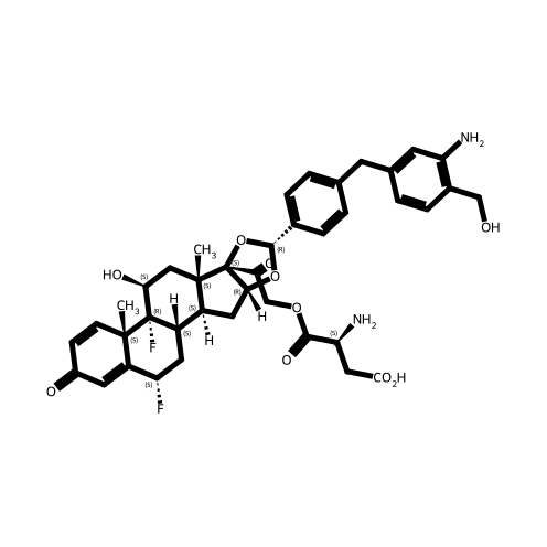 C[C@]12C=CC(=O)C=C1[C@@H](F)C[C@H]1[C@@H]3C[C@H]4O[C@@H](c5ccc(Cc6ccc(CO)c(N)c6)cc5)O[C@@]4(C(=O)COC(=O)[C@@H](N)CC(=O)O)[C@@]3(C)C[C@H](O)[C@@]12F